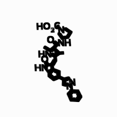 Cc1[nH]c(C=C2C(=O)Nc3ccc(-c4cnn(-c5ccccc5)c4)cc32)c(C)c1C(=O)N[C@H]1CCCN(C(=O)O)C1